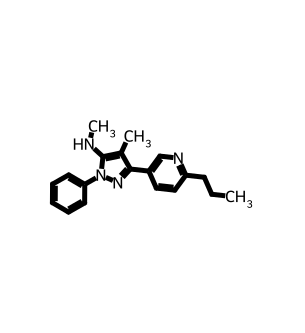 CCCc1ccc(-c2nn(-c3ccccc3)c(NC)c2C)cn1